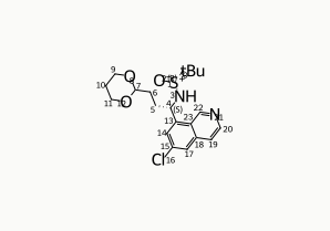 CC(C)(C)[S@+]([O-])N[C@@H](CCC1OCCCO1)c1cc(Cl)cc2ccncc12